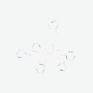 c1ccc(COC[C@H]2S[C@@H](c3cccc(Cc4ncccn4)c3)[C@H](OCc3ccccc3)[C@@H](OCc3ccccc3)[C@@H]2OCc2ccccc2)cc1